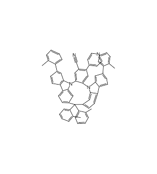 Cc1ccccc1-c1ccc2c3ccc4cc3n(c2c1)-c1cc(C#N)c(-c2ccncc2)cc1-n1c2cc(-c3ccccc3C)ccc2c2ccc(cc21)C4(c1ccccc1C)c1ccccc1C